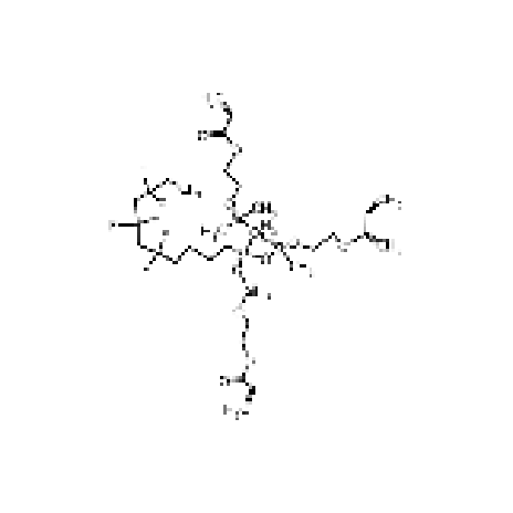 C=CC(=C)OCCO[Si](C)(C)O[Si](CCCCC(F)(F)CC(F)(F)CC(F)(F)CC(F)(F)F)(O[SiH2]OCCOC(=O)C=C)O[Si](C)(C)OCCOC(=O)C=C